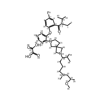 CCN(C(=O)c1cc(F)ccc1Oc1nncnc1N1CCC2(C1)CN([C@H](CCCN(C)C[C@@H](C)OC)C(C)C)C2)C(C)C.O=C(O)C(=O)O